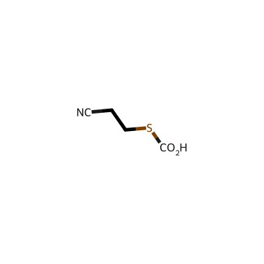 N#CCCSC(=O)O